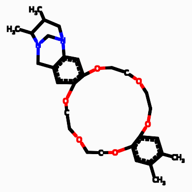 Cc1cc2c(cc1C)OCCOCCOc1cc3c(cc1OCCOCCO2)CN1CN3CC(C)C1C